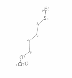 CCSCCCCOC=O